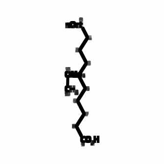 CCCCCCCCCCCCCCCCC(=O)O.COC